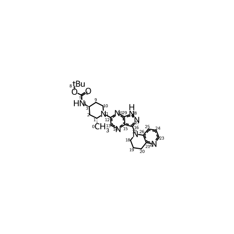 C[C@@H]1C[C@@H](NC(=O)OC(C)(C)C)CCN1c1cnc2c(N3CCCc4ncccc43)n[nH]c2n1